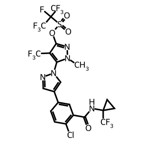 Cn1nc(OS(=O)(=O)C(F)(C(F)(F)F)C(F)(F)F)c(C(F)(F)F)c1-n1cc(-c2ccc(Cl)c(C(=O)NC3(C(F)(F)F)CC3)c2)cn1